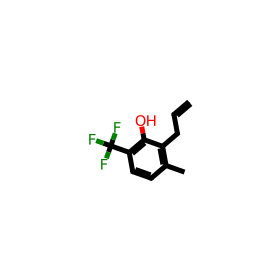 C=CCc1c(C)ccc(C(F)(F)F)c1O